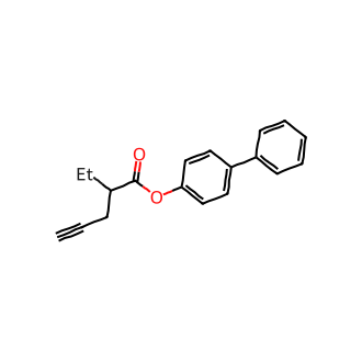 C#CCC(CC)C(=O)Oc1ccc(-c2ccccc2)cc1